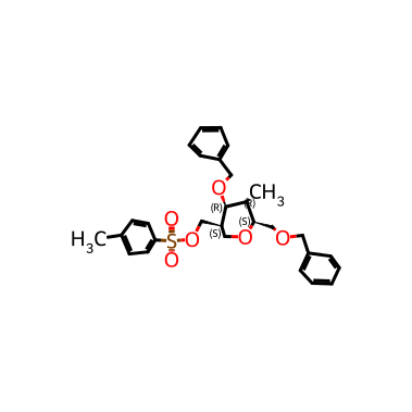 Cc1ccc(S(=O)(=O)OC[C@@H]2CO[C@H](COCc3ccccc3)[C@H](C)[C@@H]2OCc2ccccc2)cc1